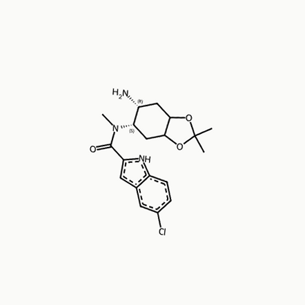 CN(C(=O)c1cc2cc(Cl)ccc2[nH]1)[C@H]1CC2OC(C)(C)OC2C[C@H]1N